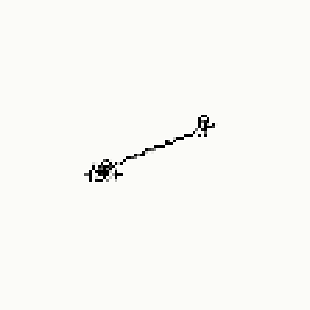 C=CC(=O)OCCCCCCCCCCCCCCCCCCOP(=O)(O)O